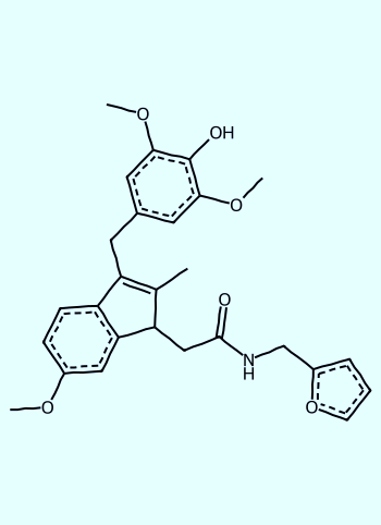 COc1ccc2c(c1)C(CC(=O)NCc1ccco1)C(C)=C2Cc1cc(OC)c(O)c(OC)c1